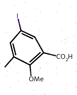 COc1c(C)cc(I)cc1C(=O)O